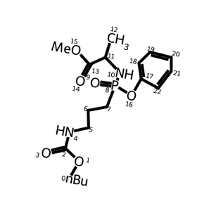 CCCCOC(=O)NCCCP(=O)(NC(C)C(=O)OC)Oc1ccccc1